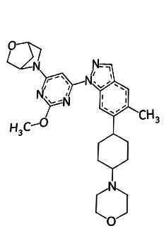 COc1nc(N2CC3CC2CO3)cc(-n2ncc3cc(C)c(C4CCC(N5CCOCC5)CC4)cc32)n1